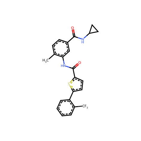 Cc1ccc(C(=O)NC2CC2)cc1NC(=O)c1ccc(-c2ccccc2C(F)(F)F)s1